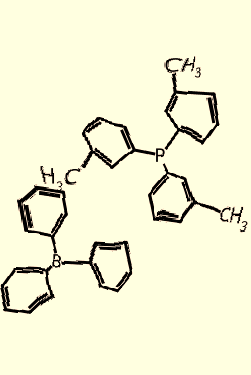 Cc1cccc(P(c2cccc(C)c2)c2cccc(C)c2)c1.c1ccc(B(c2ccccc2)c2ccccc2)cc1